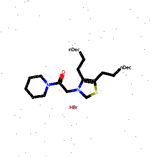 Br.CCCCCCCCCCCCC1=C(CCCCCCCCCCCC)N(CC(=O)N2CCCCC2)CS1